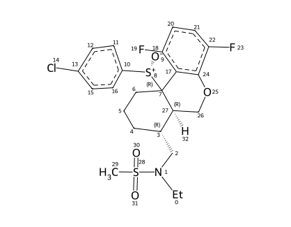 CCN(C[C@@H]1CCCC2([S@@+]([O-])c3ccc(Cl)cc3)c3c(F)ccc(F)c3OC[C@@H]12)S(C)(=O)=O